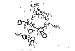 CC(O)[C@@H]1NC(=O)[C@H](CCCCN)NC(=O)[C@@H](Cc2c[nH]c3ccccc23)NC(=O)[C@H](Cc2ccccc2)NC(=O)[C@@H](NC(=O)[C@H](N)Cc2ccccc2)CSSC[C@@H](C(=O)N[C@H](CO)[C@@H](C)O)NC1=O.COc1ccc(C(CN(C)C)C2(O)CCCCC2)cc1